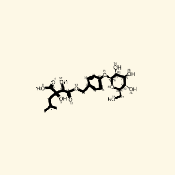 CC(C)CC(O)(C(=O)O)C(O)C(=O)OCc1ccc(O[C@@H]2O[C@H](CO)[C@@H](O)[C@H](O)[C@H]2O)cc1